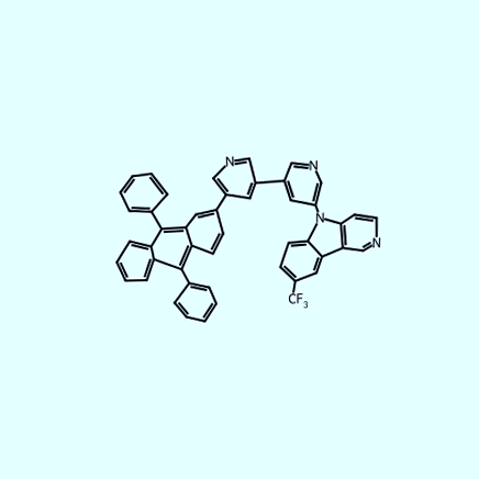 FC(F)(F)c1ccc2c(c1)c1cnccc1n2-c1cncc(-c2cncc(-c3ccc4c(-c5ccccc5)c5ccccc5c(-c5ccccc5)c4c3)c2)c1